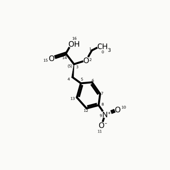 CCO[C@@H](Cc1ccc([N+](=O)[O-])cc1)C(=O)O